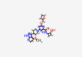 COc1ccnc2[nH]nc(C3CCN(c4cc(C(=O)N[C@@H]5CC[C@@H]5O)nc(OCC5CCCO5)n4)CC3)c12